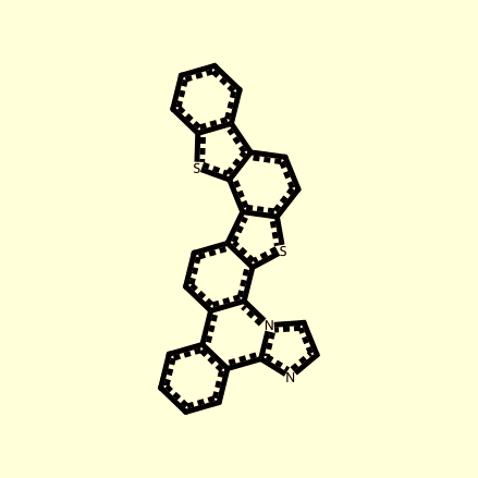 c1ccc2c(c1)sc1c2ccc2sc3c(ccc4c5ccccc5c5nccn5c43)c21